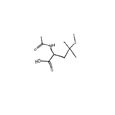 CSC(C)(C)CC(NC(C)=O)C(=O)O